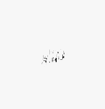 CC(C)(C)OC(=O)NCNS(=O)(=O)C1CCCCC1